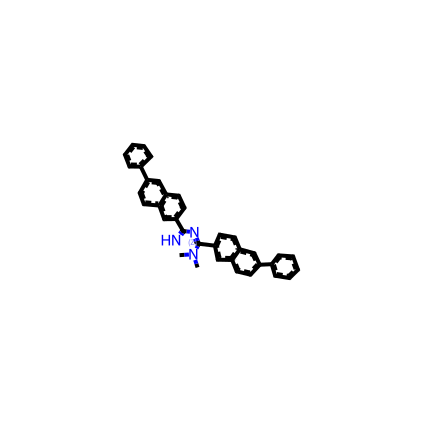 CN(C)/C(=N\C(=N)c1ccc2cc(-c3ccccc3)ccc2c1)c1ccc2cc(-c3ccccc3)ccc2c1